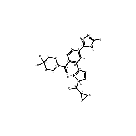 Cc1nnc(-c2ccc(C(=O)N3CCC(F)(F)CC3)c(-c3ccn(C(C)C4CC4)n3)c2)[nH]1